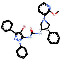 COc1ncccc1N1C[C@@H](NC(=O)Nc2c(Br)c(-c3ccccc3)nn2-c2ccccc2)[C@H](c2ccccc2)C1